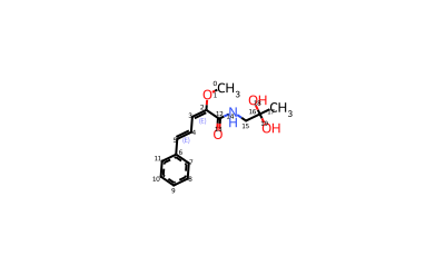 CO/C(=C/C=C/c1ccccc1)C(=O)NCC(C)(O)O